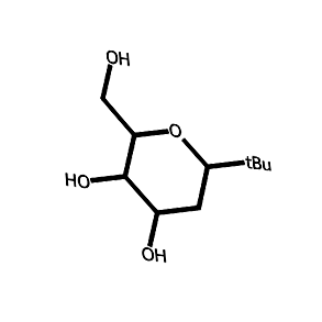 CC(C)(C)C1CC(O)C(O)C(CO)O1